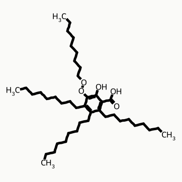 CCCCCCCCCOOc1c(O)c(C(=O)O)c(CCCCCCCCC)c(CCCCCCCCC)c1CCCCCCCCC